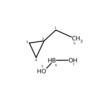 CCC1CC1.OBO